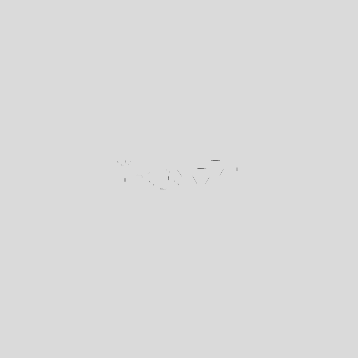 CN[C@H](C(=O)N1CCC[C@H]1c1ncc(-c2ccc3cc(Br)ccc3c2)[nH]1)C(C)C